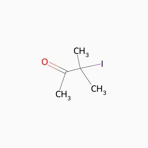 CC(=O)C(C)(C)I